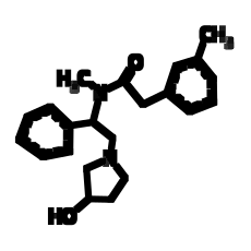 Cc1cccc(CC(=O)N(C)C(CN2CCC(O)C2)c2ccccc2)c1